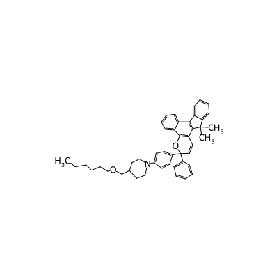 CCCCCCOCC1CCN(c2ccc(C3(c4ccccc4)C=Cc4c5c(c6ccccc6c4O3)-c3ccccc3C5(C)C)cc2)CC1